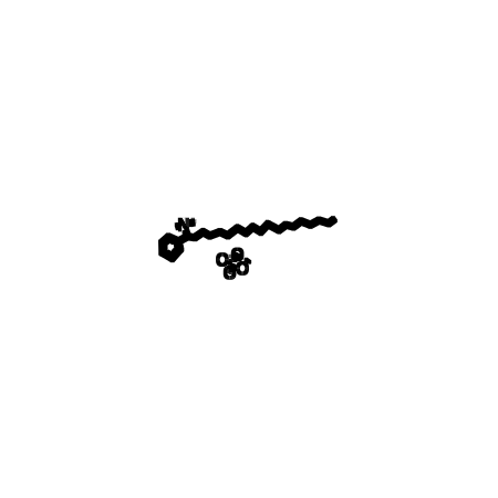 CCCCCCCCCCCCCCCCCCC(c1ccccc1)[N+](C)(C)C.COS(=O)(=O)[O-]